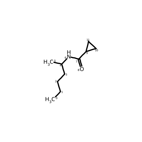 CCCCC(C)NC(=O)C1CC1